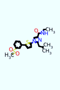 CCNC(=O)c1cn(-c2ccc(-c3cccc(S(C)(=O)=O)c3)s2)c(CC(C)C)n1